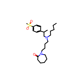 CCCCCN(CCCCN1CCCCCC1=O)CC(C)c1ccc(S(C)(=O)=O)cc1